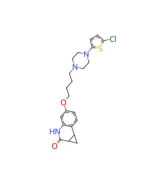 O=C1Nc2cc(OCCCCN3CCN(c4ccc(Cl)s4)CC3)ccc2C2CC12